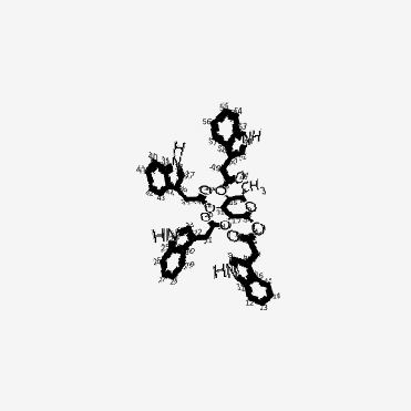 C[C@@H]1O[C@@H](OC(=O)Cc2c[nH]c3ccccc23)[C@H](OC(=O)Cc2c[nH]c3ccccc23)[C@H](OC(=O)Cc2c[nH]c3ccccc23)[C@H]1OC(=O)Cc1c[nH]c2ccccc12